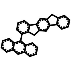 c1ccc2c(c1)Cc1cc3c(cc1-2)Cc1c-3cccc1-c1c2ccccc2cc2ccccc12